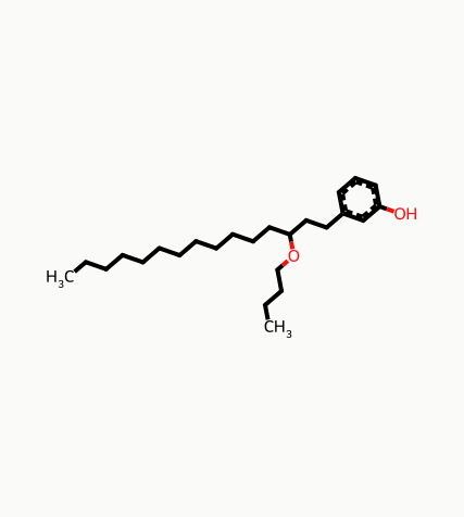 CCCCCCCCCCCCC(CCc1cccc(O)c1)OCCCC